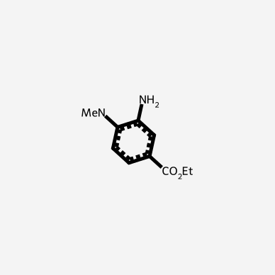 CCOC(=O)c1ccc(NC)c(N)c1